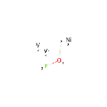 FOF.[Ni].[V].[V]